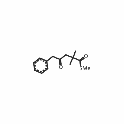 CSC(=O)C(C)(C)CC(=O)Cc1ccccc1